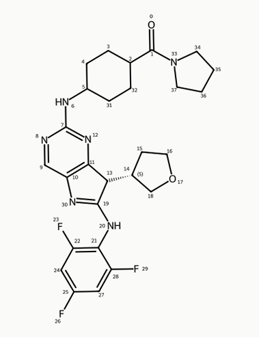 O=C(C1CCC(Nc2ncc3c(n2)C([C@@H]2CCOC2)C(Nc2c(F)cc(F)cc2F)=N3)CC1)N1CCCC1